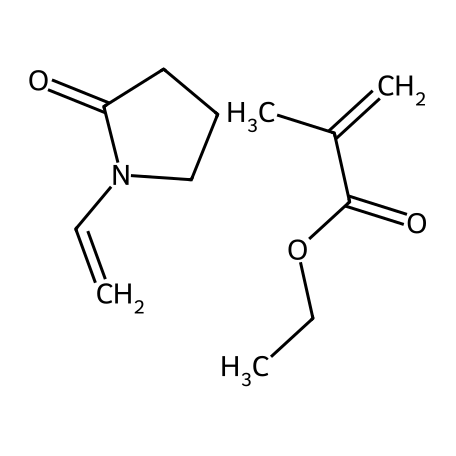 C=C(C)C(=O)OCC.C=CN1CCCC1=O